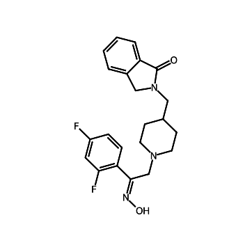 O=C1c2ccccc2CN1CC1CCN(C/C(=N\O)c2ccc(F)cc2F)CC1